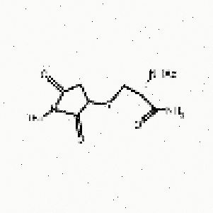 CC(=O)N[C@@H](CSC1CC(=O)N(C(C)(C)C)C1=O)C(N)=O